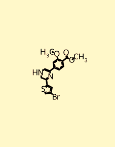 COC(=O)c1ccc(C2=CNCC(c3cc(Br)cs3)=N2)cc1OC